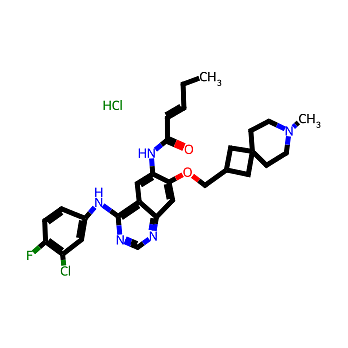 CCC=CC(=O)Nc1cc2c(Nc3ccc(F)c(Cl)c3)ncnc2cc1OCC1CC2(CCN(C)CC2)C1.Cl